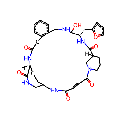 O=C1/C=C/C(=O)N2CCC[C@H](C2)C(=O)N[C@@H](Cc2ccco2)C(O)NCc2ccccc2CC(=O)N[C@H]2CCC(CN1)CNC2=O